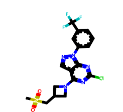 CS(=O)(=O)CC1CN(c2nc(Cl)nc3c2cnn3-c2cccc(C(F)(F)F)c2)C1